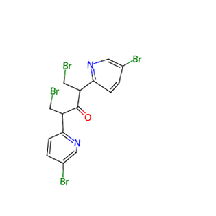 O=C(C(CBr)c1ccc(Br)cn1)C(CBr)c1ccc(Br)cn1